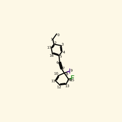 CCc1ccc(C#CC2(I)C=CC=CC2F)cc1